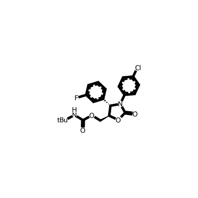 CC(C)(C)NC(=O)OC[C@@H]1OC(=O)N(c2ccc(Cl)cc2)[C@H]1c1cccc(F)c1